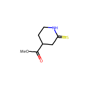 COC(=O)C1CCNC(=S)C1